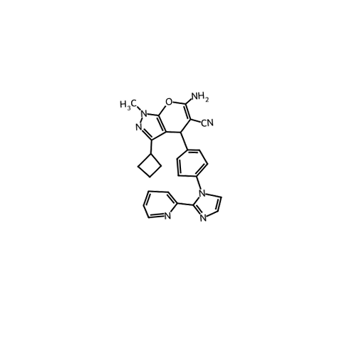 Cn1nc(C2CCC2)c2c1OC(N)=C(C#N)C2c1ccc(-n2ccnc2-c2ccccn2)cc1